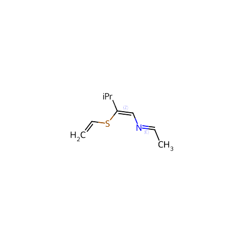 C=CS/C(=C\N=C\C)C(C)C